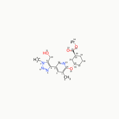 Cc1cc(-c2nnn(C)c2CO)cnc1O[C@H]1CCC[C@H](C(=O)OC(C)C)C1